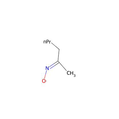 CCCCC(C)=N[O]